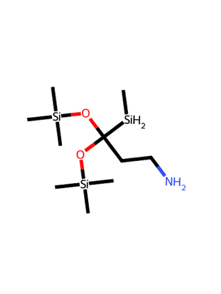 C[SiH2]C(CCN)(O[Si](C)(C)C)O[Si](C)(C)C